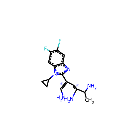 CC(N)/C(N)=C/C(=C\N)c1nc2cc(F)c(F)cc2n1C1CC1